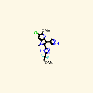 COCC(F)(F)c1nnc(-c2c(-c3cn[nH]c3)c3nc(OC)c(Cl)cc3n2C)[nH]1